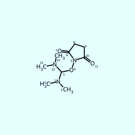 CN(C)C(ON1C(=O)CCC1=O)N(C)C